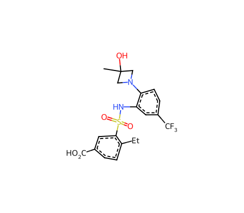 CCc1ccc(C(=O)O)cc1S(=O)(=O)Nc1cc(C(F)(F)F)ccc1N1CC(C)(O)C1